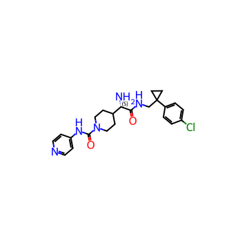 N[C@H](C(=O)NCC1(c2ccc(Cl)cc2)CC1)C1CCN(C(=O)Nc2ccncc2)CC1